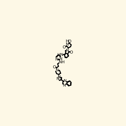 O=C1CCC(N2Cc3c(Nc4ccnc(NCCC(=O)N5CCC(n6cc(-c7cnc8ccccc8n7)cn6)CC5)n4)cccc3C2=O)C(=O)N1